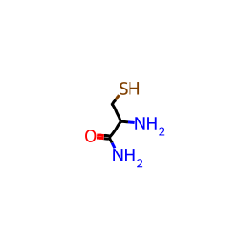 NC(=O)C(N)CS